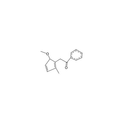 COC1C=CC(C)=C1CC(=O)c1ccccc1